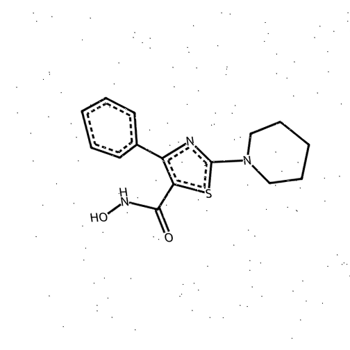 O=C(NO)c1sc(N2CCCCC2)nc1-c1ccccc1